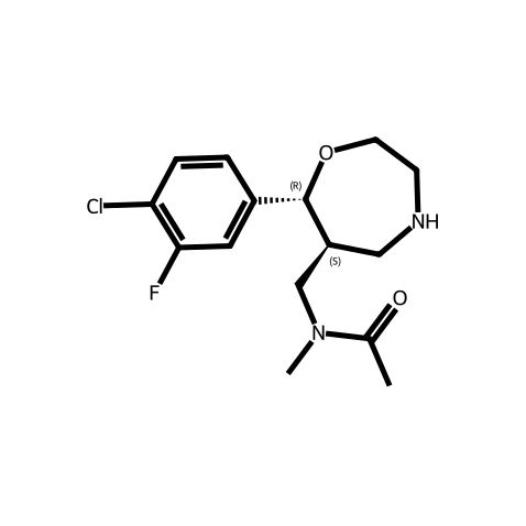 CC(=O)N(C)C[C@@H]1CNCCO[C@H]1c1ccc(Cl)c(F)c1